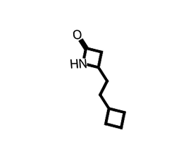 O=C1CC(CCC2CCC2)N1